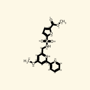 COC(=O)c1ccc(S(=O)(=O)NCc2cc(OC)cc(-c3ccccn3)n2)o1